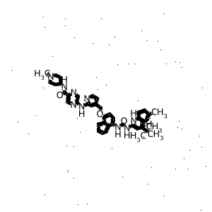 Cc1ccc(N/C(=C\C(=N)C(C)(C)C)NC(=O)Nc2ccc(OCc3ccnc(Nc4cnc(C(=O)NC5CCN(C)CC5)cn4)c3)c3ccccc23)cc1